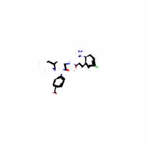 C=C/C(=C\C)C[C@H](NC(=O)/C=C/c1cc(Cl)ccc1-n1cnnn1)C(=O)Nc1ccc(C(=O)O)cc1